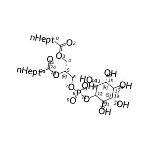 CCCCCCCC(=O)OC[C@H](COP(=O)(O)OC1[C@H](O)[C@H](O)C(O)[C@H](O)[C@H]1O)OC(=O)CCCCCCC